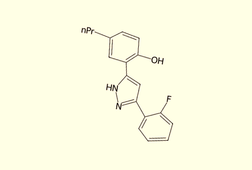 CCCc1ccc(O)c(-c2cc(-c3ccccc3F)n[nH]2)c1